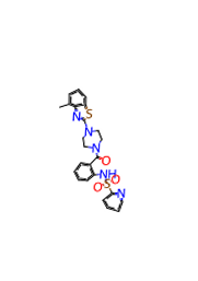 Cc1cccc2sc(N3CCN(C(=O)c4ccccc4NS(=O)(=O)c4ccccn4)CC3)nc12